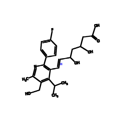 Cc1nc(-c2ccc(F)cc2)c(/C=C/C(O)CC(O)CC(=O)O)c(C(C)C)c1CO